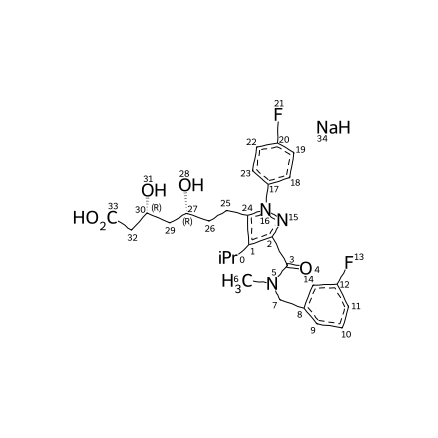 CC(C)c1c(C(=O)N(C)Cc2cccc(F)c2)nn(-c2ccc(F)cc2)c1CC[C@@H](O)C[C@@H](O)CC(=O)O.[NaH]